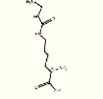 CCNC(=O)NCCCC[C@H](N)C(=O)O